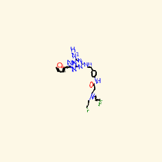 Nc1nc(NCCc2ccc(NC(=O)CCN(CCCF)CCCF)cc2)nc2nc(-c3ccco3)nn12